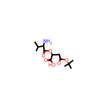 CC(C)C(N)C(=O)OC(CC(=O)OC(C)(C)C)C(=O)O